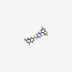 O=C1C=C(F)c2ccc(CCN3CCN(c4cc(F)cc5sccc45)CC3)cc2[N]1